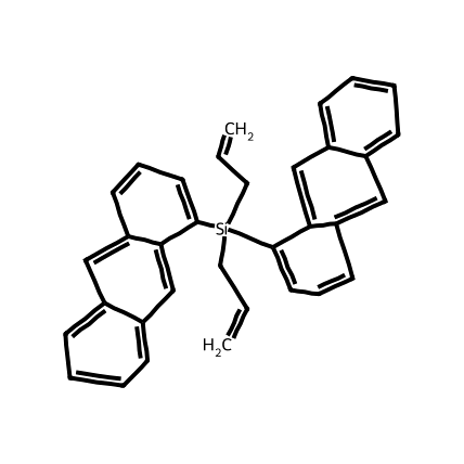 C=CC[Si](CC=C)(c1cccc2cc3ccccc3cc12)c1cccc2cc3ccccc3cc12